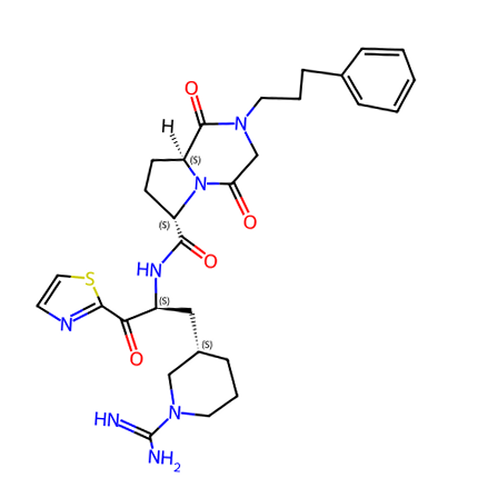 N=C(N)N1CCC[C@@H](C[C@H](NC(=O)[C@@H]2CC[C@H]3C(=O)N(CCCc4ccccc4)CC(=O)N23)C(=O)c2nccs2)C1